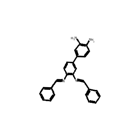 Nc1ccc(-c2ccc(N=Cc3ccccc3)c(N=Cc3ccccc3)c2)cc1N